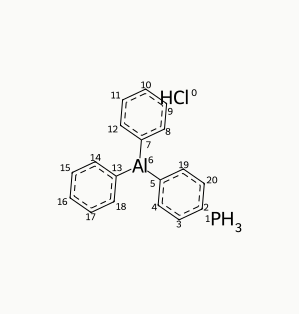 Cl.P.c1cc[c]([Al]([c]2ccccc2)[c]2ccccc2)cc1